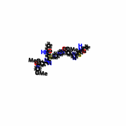 COc1cc(-c2cncc(C3=CC(NC(=O)CC4CCCC4)=C[SH]3CN3CCC(N4CCN(C(=O)c5ccc(-c6cncc(-c7cc(NC(=O)CC8CCC8)cs7)n6)cc5OC)CC4)CC3)n2)ccc1C(=O)N1CCC(OC)CC1